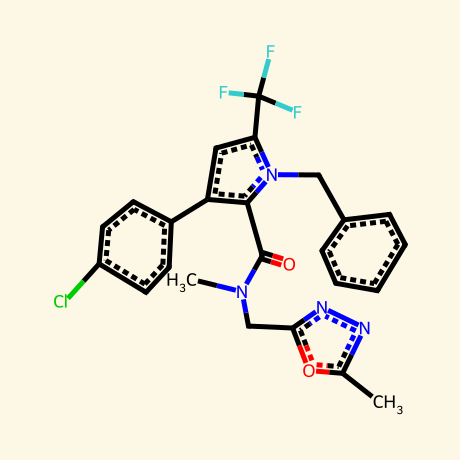 Cc1nnc(CN(C)C(=O)c2c(-c3ccc(Cl)cc3)cc(C(F)(F)F)n2Cc2ccccc2)o1